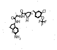 C[C@H](NC(=O)[C@H]1C[C@H](Cc2ccc(OC(F)(F)F)c(Cl)c2)CN1)C(=O)NC1CCc2nc(N)ccc21